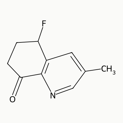 Cc1cnc2c(c1)C(F)CCC2=O